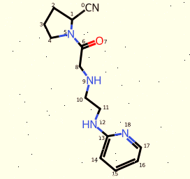 N#CC1CCCN1C(=O)CNCCNc1ccccn1